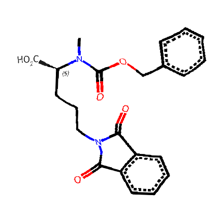 CN(C(=O)OCc1ccccc1)[C@@H](CCCN1C(=O)c2ccccc2C1=O)C(=O)O